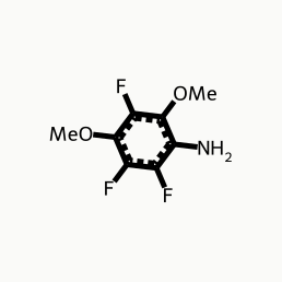 COc1c(N)c(F)c(F)c(OC)c1F